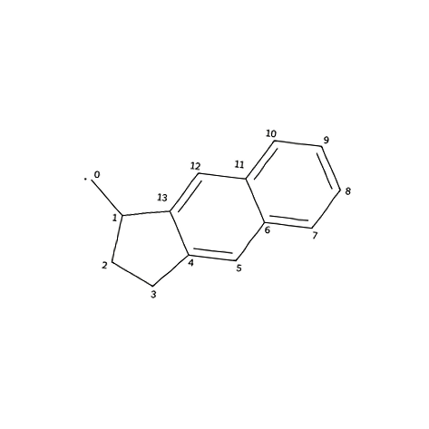 [CH2]C1CCc2cc3ccccc3cc21